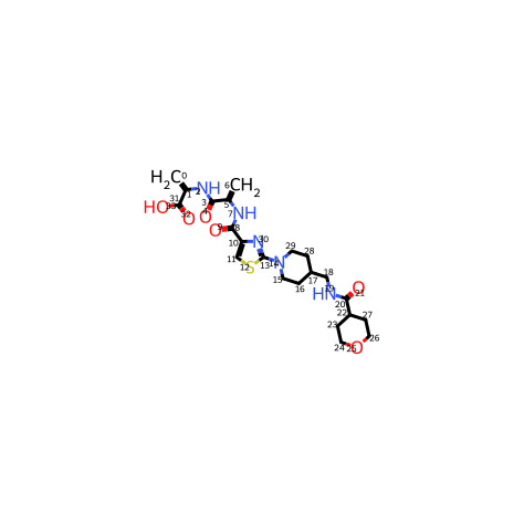 C=C(NC(=O)C(=C)NC(=O)c1csc(N2CCC(CNC(=O)C3CCOCC3)CC2)n1)C(=O)O